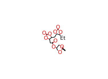 C=C1OCC(OC(=O)CC2OC(=O)OC2CC2OC(=O)OC2CC)CO1